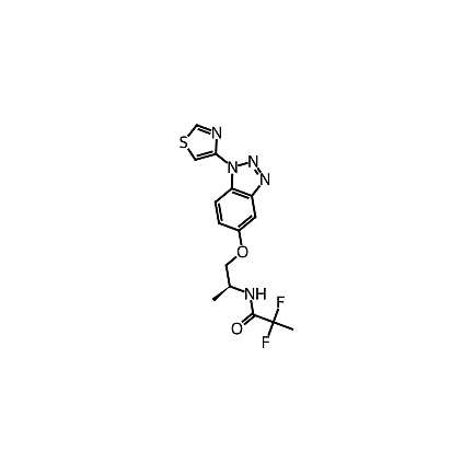 C[C@@H](COc1ccc2c(c1)nnn2-c1cscn1)NC(=O)C(C)(F)F